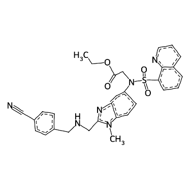 CCOC(=O)CN(c1ccc2c(c1)nc(CNCc1ccc(C#N)cc1)n2C)S(=O)(=O)c1cccc2cccnc12